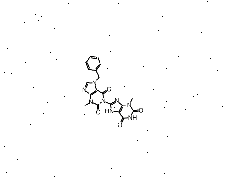 Cn1c(=O)[nH]c(=O)c2[nH]c(-n3c(=O)c4c(ncn4Cc4ccccc4)n(C)c3=O)nc21